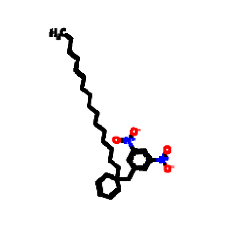 CCCCCCCCCCCCCCCCC1(Cc2cc([N+](=O)[O-])cc([N+](=O)[O-])c2)C=CC=CC1